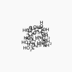 N=C(N)NCCC[C@H](N)C(=O)O.N=C(N)NCCC[C@H](N)C(=O)O.O=C1c2c(O)cc(O)cc2O[C@H](c2cc(O)c(O)c(O)c2)[C@H]1O